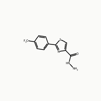 NNC(=O)c1csc(-c2ccc(C(F)(F)F)cc2)n1